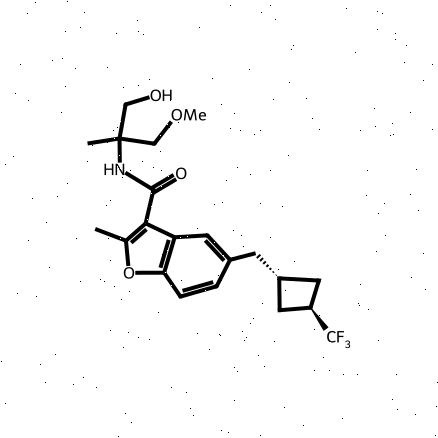 COCC(C)(CO)NC(=O)c1c(C)oc2ccc(C[C@H]3C[C@H](C(F)(F)F)C3)cc12